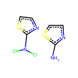 ClN(Cl)c1nccs1.Nc1nccs1